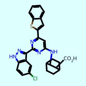 O=C(O)C1C2CCC(CC2)C1Nc1cc(-c2cc3ccccc3s2)nc(-c2n[nH]c3ccc(Cl)cc23)n1